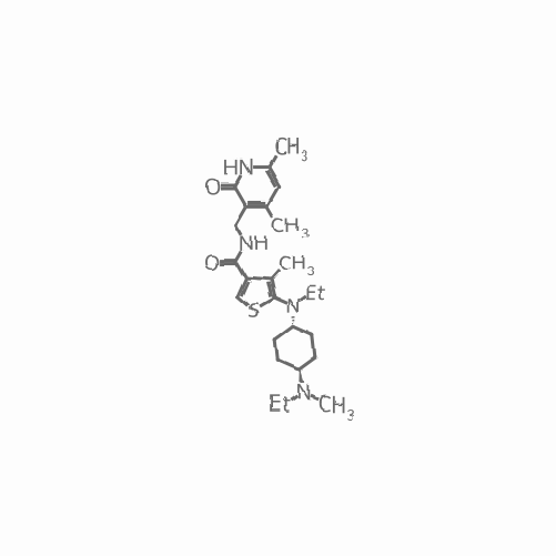 CCN(C)[C@H]1CC[C@H](N(CC)c2scc(C(=O)NCc3c(C)cc(C)[nH]c3=O)c2C)CC1